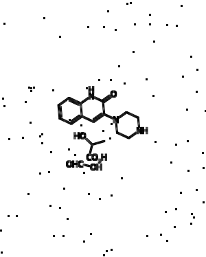 CC(O)C(=O)O.O=CO.O=c1[nH]c2ccccc2cc1N1CCNCC1